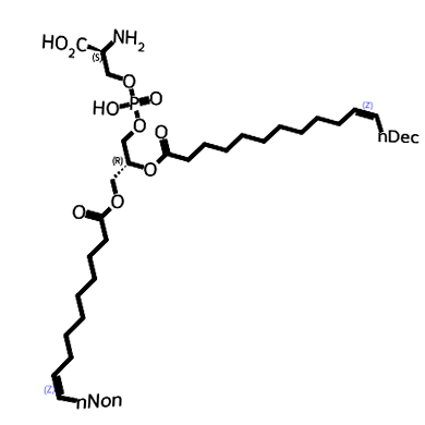 CCCCCCCCC/C=C\CCCCCCCC(=O)OC[C@H](COP(=O)(O)OC[C@H](N)C(=O)O)OC(=O)CCCCCCCCC/C=C\CCCCCCCCCC